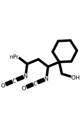 CCCC(CC(N=C=O)C1(CO)CCCCC1)N=C=O